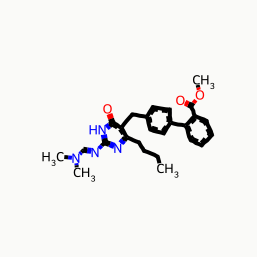 CCCCc1nc(N=CN(C)C)[nH]c(=O)c1Cc1ccc(-c2ccccc2C(=O)OC)cc1